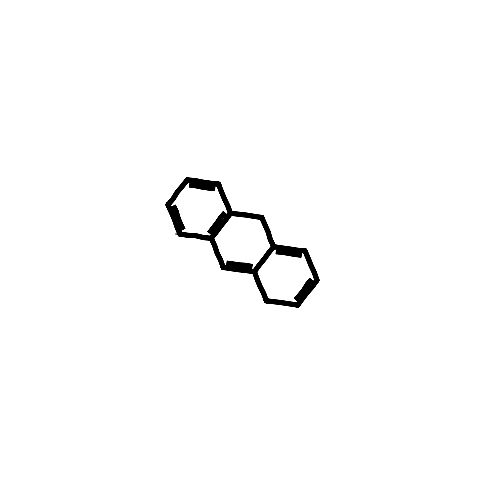 [c]1cccc2c1C=C1CC=CC=C1C2